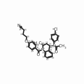 CC(=O)N(c1ccc(Cl)cc1)[C@@H]1C[C@H](C)N(C(=O)c2ccc(OCCCC#N)cc2)c2ccccc21